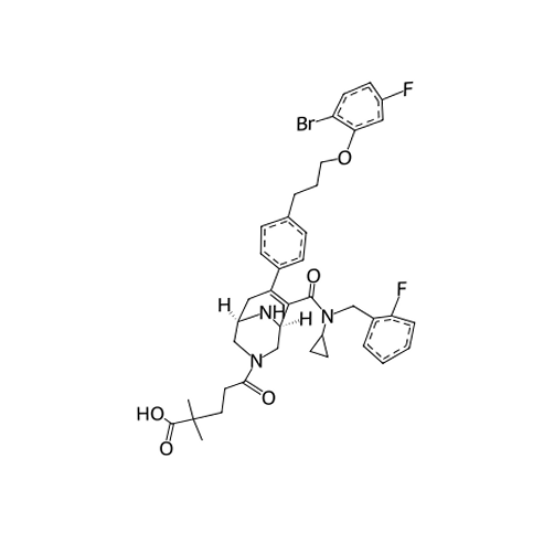 CC(C)(CCC(=O)N1C[C@H]2CC(c3ccc(CCCOc4cc(F)ccc4Br)cc3)=C(C(=O)N(Cc3ccccc3F)C3CC3)[C@@H](C1)N2)C(=O)O